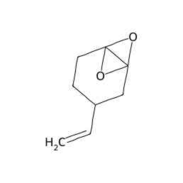 C=CC1CCC23OC2(C1)O3